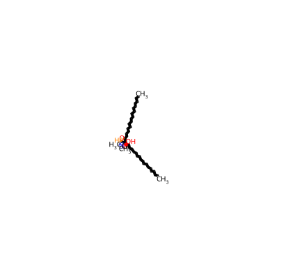 CCCCCCCCCCCCCCCCCCC(=O)C(O)(C(=O)CCCCCCCCCCCCCCCCCC)C([PH-])[N+](C)(C)C